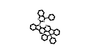 c1ccc(-c2nc(-n3c4ccccc4c4cnc5c6c(cnc5c43)-c3ccccc3C6(c3ccccc3)c3ccccc3)nc3ccccc23)cc1